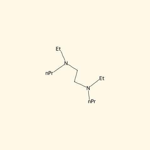 CCCN(CC)CCN(CC)CCC